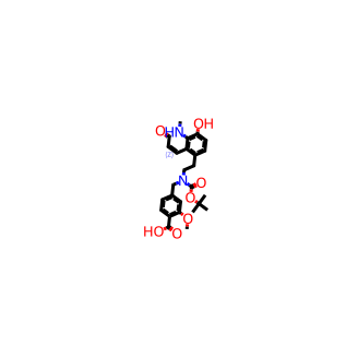 CNc1c(O)ccc(CCN(Cc2ccc(C(=O)O)c(OC)c2)C(=O)OC(C)(C)C)c1/C=C\C=O